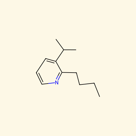 CCCCc1ncccc1C(C)C